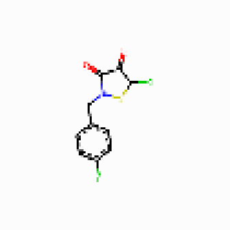 O=C1C(=O)N(Cc2ccc(Cl)cc2)SC1Cl